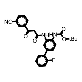 CC(C)(C)OC(=O)Nc1ccc(-c2ccccc2F)cc1NC(=O)CC(=O)c1cccc(C#N)c1